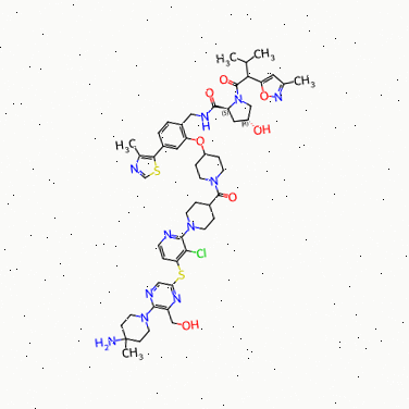 Cc1cc(C(C(=O)N2C[C@H](O)C[C@H]2C(=O)NCc2ccc(-c3scnc3C)cc2OC2CCN(C(=O)C3CCN(c4nccc(Sc5cnc(N6CCC(C)(N)CC6)c(CO)n5)c4Cl)CC3)CC2)C(C)C)on1